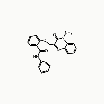 Cn1c(=O)c(COc2ccccc2C(=O)Nc2ccccc2)nc2ccccc21